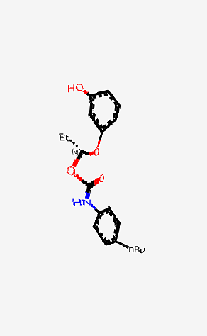 [CH2]C[C@@H](OC(=O)Nc1ccc(CCCC)cc1)Oc1cccc(O)c1